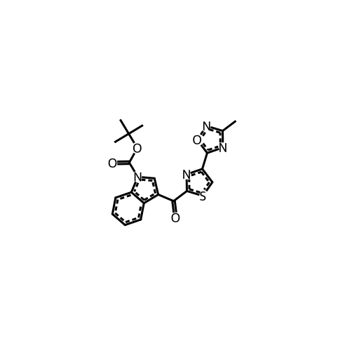 Cc1noc(-c2csc(C(=O)c3cn(C(=O)OC(C)(C)C)c4ccccc34)n2)n1